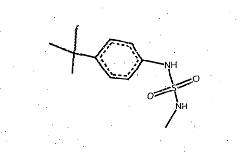 CNS(=O)(=O)Nc1ccc(C(C)(C)C)cc1